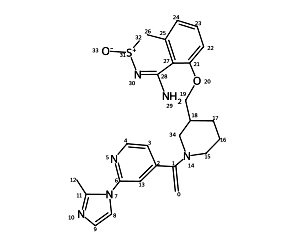 C=C(c1ccnc(-n2ccnc2C)c1)N1CCCC(COc2cccc(C)c2/C(N)=N\[S+](C)[O-])C1